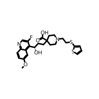 COc1ccc2ncc(F)c([C@@H](O)CCC3(C(=O)O)CCN(CCSc4cccs4)CC3)c2c1